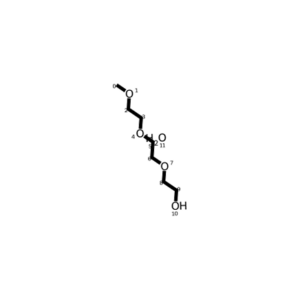 COCCOCCOCCO.O